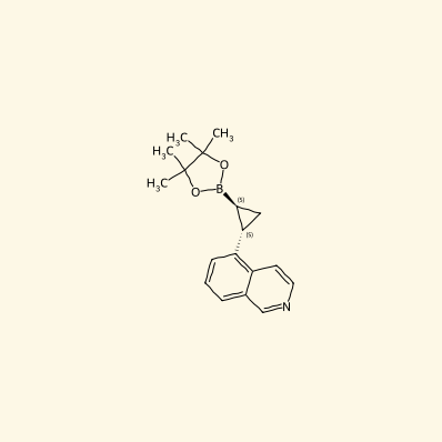 CC1(C)OB([C@H]2C[C@@H]2c2cccc3cnccc23)OC1(C)C